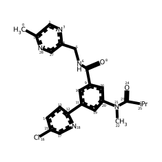 Cc1cnc(CNC(=O)c2cc(-c3ccc(Cl)cn3)cc(N(C)C(=O)C(C)C)c2)cn1